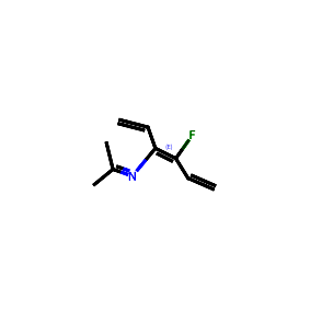 C=C/C(F)=C(/C=C)N=C(C)C